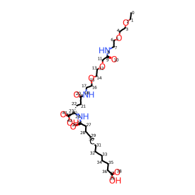 CCOCCOCCNC(=O)COCCOCCNC(=O)CC[C@H](NC(=O)CCCCCCCCCCC(=O)O)C(=O)O